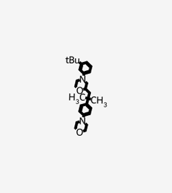 CC(C)(C)c1cccc(N2CCOC(CC(C)(C)c3ccc(N4CCOCC4)cc3)C2)c1